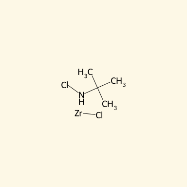 CC(C)(C)NCl.[Cl][Zr]